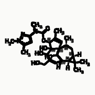 CC1=C[C@]23C(O)[C@@H](C=C(CO)[C@@H](O)[C@]2(O)[C@H]1OC(=O)N(C)c1cc(C)n(C)n1)[C@H]1[C@@H](C[C@H]3C)C1(C)C